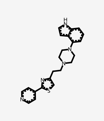 c1cc(N2CCN(CCc3csc(-c4ccncc4)n3)CC2)c2cc[nH]c2c1